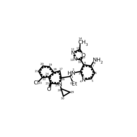 CC[C@H](Nc1nccc(N)c1-c1nnc(C)o1)c1cc2cccc(Cl)c2c(=O)n1C1CC1